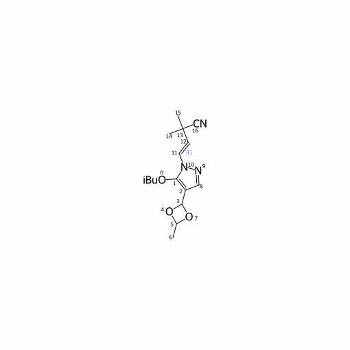 CC(C)COc1c(C2OC(C)O2)cnn1/C=C/C(C)(C)C#N